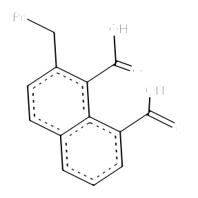 O=C(O)c1cccc2ccc(CBr)c(C(=O)O)c12